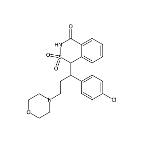 O=C1NS(=O)(=O)C(C(CCN2CCOCC2)c2ccc(Cl)cc2)c2ccccc21